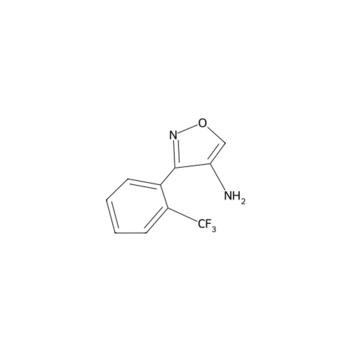 Nc1conc1-c1ccccc1C(F)(F)F